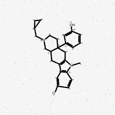 Cn1c2c(c3cc(Cl)ccc31)CC1CN(CC3CC3)CCC1(c1cccc(O)c1)C2